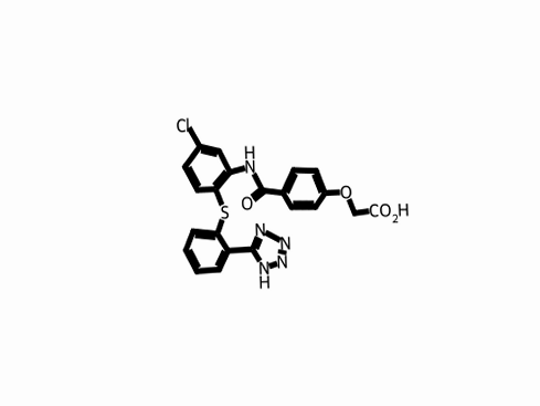 O=C(O)COc1ccc(C(=O)Nc2cc(Cl)ccc2Sc2ccccc2-c2nnn[nH]2)cc1